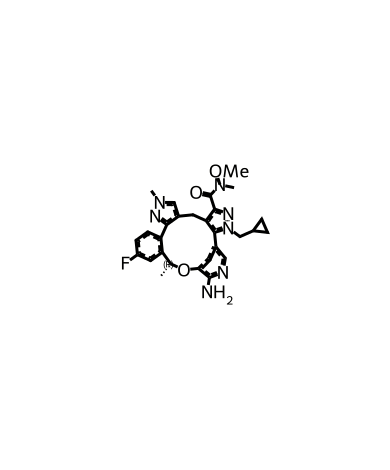 CON(C)C(=O)c1nn(CC2CC2)c2c1Cc1cn(C)nc1-c1ccc(F)cc1[C@@H](C)Oc1cc-2cnc1N